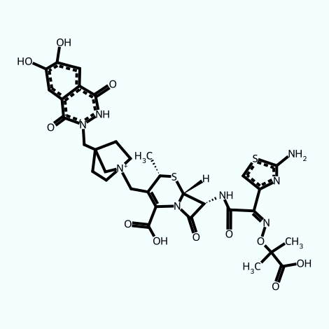 C[C@@H]1S[C@@H]2[C@H](NC(=O)/C(=N\OC(C)(C)C(=O)O)c3csc(N)n3)C(=O)N2C(C(=O)O)=C1C[N+]12CCC(Cn3[nH]c(=O)c4cc(O)c(O)cc4c3=O)(CC1)C2